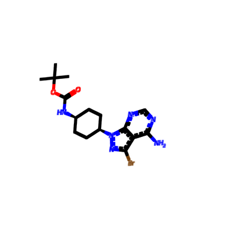 CC(C)(C)OC(=O)N[C@H]1CC[C@@H](n2nc(Br)c3c(N)ncnc32)CC1